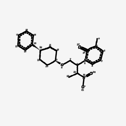 Cc1cccn(C(CO[C@H]2CC[C@@H](c3ccccc3)CC2)C(C)[N+](=O)[O-])c1=O